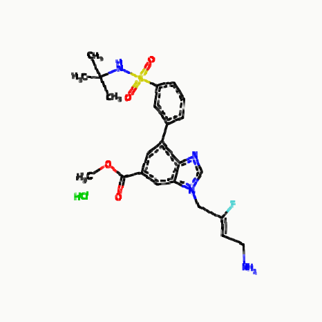 COC(=O)c1cc(-c2cccc(S(=O)(=O)NC(C)(C)C)c2)c2ncn(C/C(F)=C/CN)c2c1.Cl